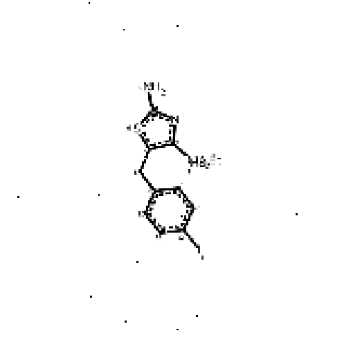 Br.CCOC(=O)c1nc(N)sc1Cc1ccc(I)cc1